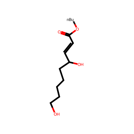 CCCCOC(=O)C=CC(O)CCCCCO